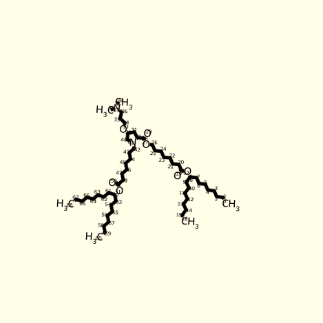 CCCCCCCCC(CCCCCCCC)OC(=O)CCCCCCCOC(=O)C1CC(OCCCN(C)C)CN1CCCCCCCC(=O)OC(CCCCCCCC)CCCCCCCC